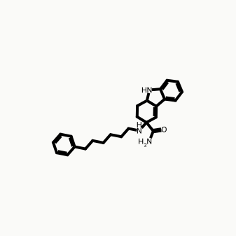 NC(=O)C1(NCCCCCCc2ccccc2)C=C2c3ccccc3NC2CC1